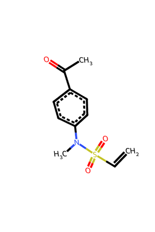 C=CS(=O)(=O)N(C)c1ccc(C(C)=O)cc1